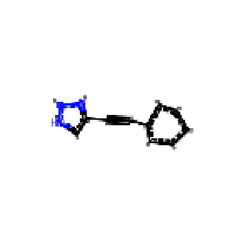 C(#Cc1c[nH]nn1)c1ccccc1